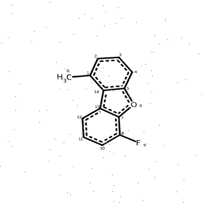 Cc1cccc2oc3c(F)cccc3c12